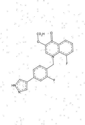 O=C(O)Oc1cn(Cc2ccc(-c3cn[nH]c3)cc2F)c2c(F)cccc2c1=O